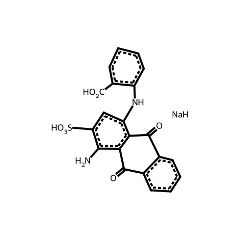 Nc1c(S(=O)(=O)O)cc(Nc2ccccc2C(=O)O)c2c1C(=O)c1ccccc1C2=O.[NaH]